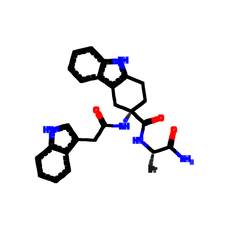 CC(C)[C@H](NC(=O)[C@]1(NC(=O)Cc2c[nH]c3ccccc23)CCc2[nH]c3ccccc3c2C1)C(N)=O